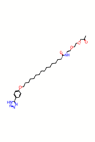 CC(=O)COCCOCCNC(=O)CCCCCCCCCCCCCCCOc1ccc(-c2nnn[nH]2)cc1